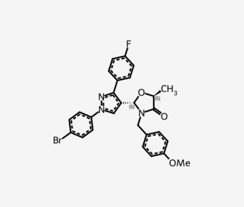 COc1ccc(CN2C(=O)[C@H](C)O[C@H]2c2cn(-c3ccc(Br)cc3)nc2-c2ccc(F)cc2)cc1